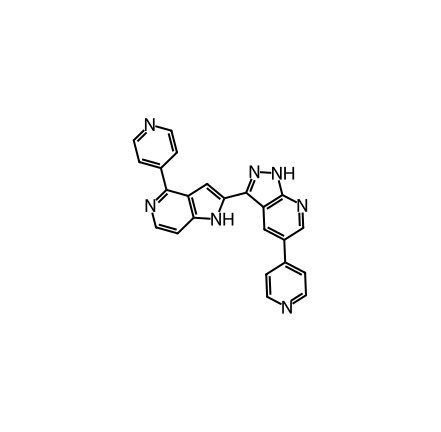 c1cc(-c2cnc3[nH]nc(-c4cc5c(-c6ccncc6)nccc5[nH]4)c3c2)ccn1